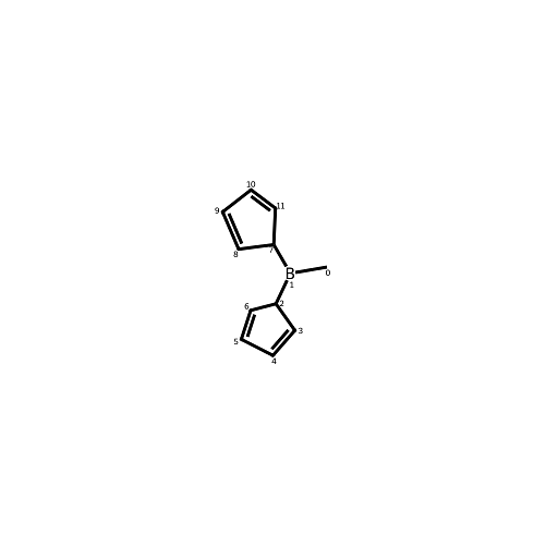 CB(C1C=CC=C1)C1C=CC=C1